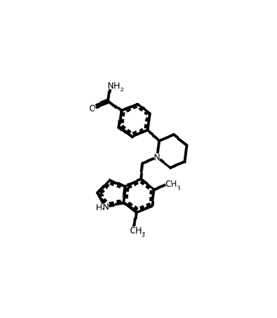 Cc1cc(C)c2[nH]ccc2c1CN1CCCCC1c1ccc(C(N)=O)cc1